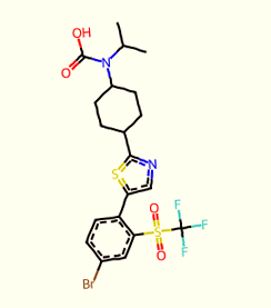 CC(C)N(C(=O)O)C1CCC(c2ncc(-c3ccc(Br)cc3S(=O)(=O)C(F)(F)F)s2)CC1